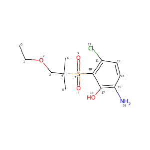 CCOCC(C)(C)S(=O)(=O)c1c(Cl)ccc(N)c1O